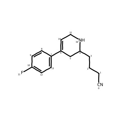 N#CCCCC1CC(c2ccc(F)cc2)=CCN1